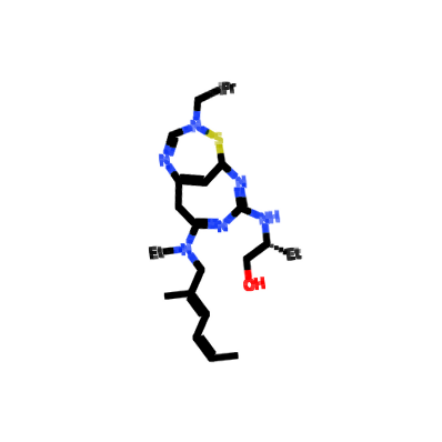 C/C=C\C=C(/C)CN(CC)/C1=N/C(N[C@H](CC)CO)=N\C2C=C(C1)N=CN(CC(C)C)S2